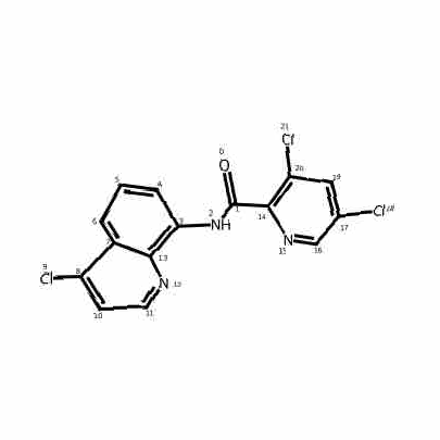 O=C(Nc1cccc2c(Cl)ccnc12)c1ncc(Cl)cc1Cl